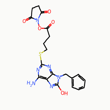 Nc1nc(SCCCC(=O)ON2C(=O)CCC2=O)nc2c1nc(O)n2Cc1ccccc1